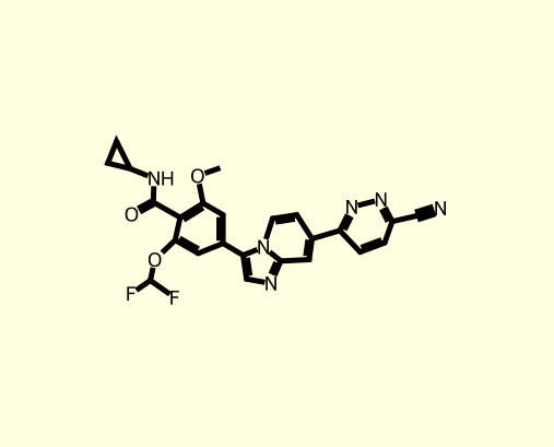 COc1cc(-c2cnc3cc(-c4ccc(C#N)nn4)ccn23)cc(OC(F)F)c1C(=O)NC1CC1